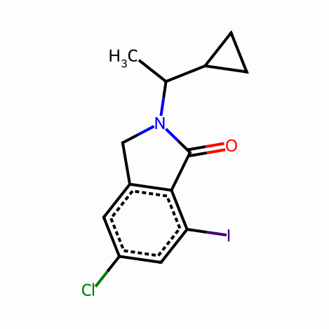 CC(C1CC1)N1Cc2cc(Cl)cc(I)c2C1=O